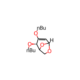 CCCCOC1=C[C@@H]2OCC(O2)[C@H]1OCCCC